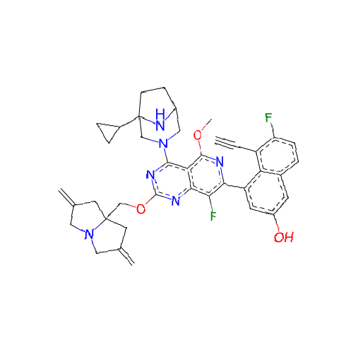 C#Cc1c(F)ccc2cc(O)cc(-c3nc(OC)c4c(N5CC6CCC(C7CC7)(C5)N6)nc(OCC56CC(=C)CN5CC(=C)C6)nc4c3F)c12